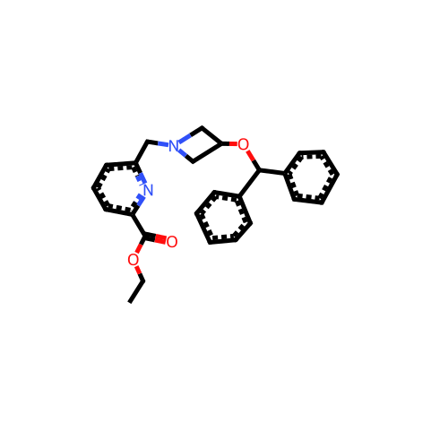 CCOC(=O)c1cccc(CN2CC(OC(c3ccccc3)c3ccccc3)C2)n1